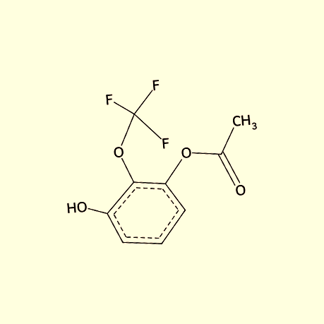 CC(=O)Oc1cccc(O)c1OC(F)(F)F